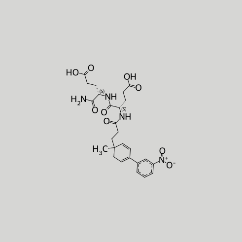 CC1(CCC(=O)N[C@@H](CCC(=O)O)C(=O)N[C@@H](CCC(=O)O)C(N)=O)C=CC(c2cccc([N+](=O)[O-])c2)=CC1